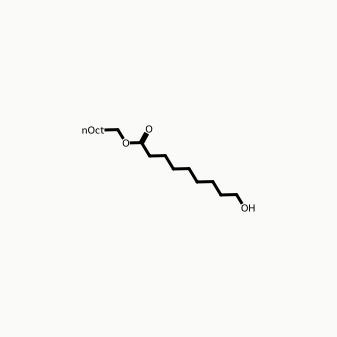 CCCCCCCCCOC(=O)CCCCCCCCO